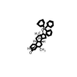 C[C@H]1C[C@@H]2[C@H](CC[C@]3(C)[C@@H](O[Si](c4ccccc4)(c4ccccc4)c4ccccc4)CC[C@@H]23)[C@@]2(CO)CCC(=O)C=C12